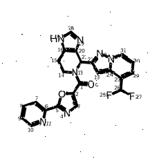 O=C(c1cnc(-c2ccccn2)o1)N1CCc2[nH]cnc2C1c1cc2c(C(F)F)cccn2n1